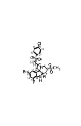 C=C1CN(S(C)(=O)=O)C[C@@H]2Nc3c(F)cc(Br)cc3[C@]12CCNS(=O)(=O)c1ccc(Cl)cc1